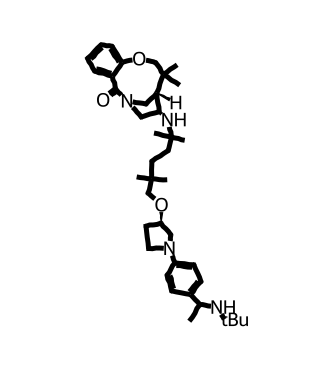 CC(NC(C)(C)C)c1ccc(N2CC[C@@H](OCC(C)(C)CCC(C)(C)N[C@H]3CN4C[C@@H]3C(C)(C)COc3ccccc3C4=O)C2)cc1